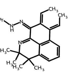 C\C=C1C(=C\C)/C(=N/NC(C)C)C2=NC(C)(C)C(C)(C)c3cccc/1c32